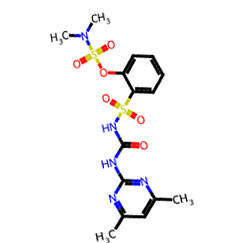 Cc1cc(C)nc(NC(=O)NS(=O)(=O)c2ccccc2OS(=O)(=O)N(C)C)n1